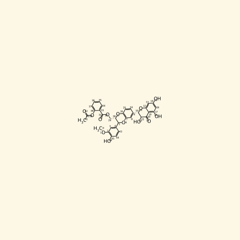 COc1cc(C2Oc3cc([C@@H]4Oc5cc(O)cc(O)c5C(=O)C4O)ccc3O[C@H]2COC(=O)c2ccccc2OC(C)=O)ccc1O